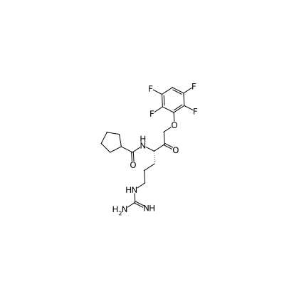 N=C(N)NCCC[C@H](NC(=O)C1CCCC1)C(=O)COc1c(F)c(F)cc(F)c1F